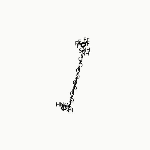 N=C1CCC(=N)N1OC(=O)CCOCCOCCOCCOCCOCCOCCOCCOCCNC(=S)Nc1cc(C(F)(F)F)cc(C(F)(F)F)c1